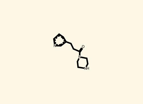 O=C(CCc1cccnc1)N1CCNCC1